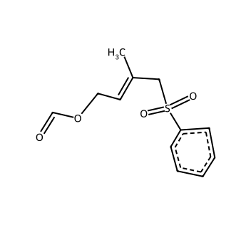 CC(=CCOC=O)CS(=O)(=O)c1ccccc1